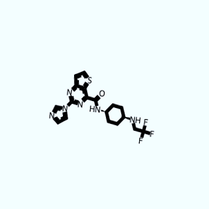 O=C(N[C@H]1CC[C@H](NCC(F)(F)F)CC1)c1nc(-n2ccnc2)nc2ccsc12